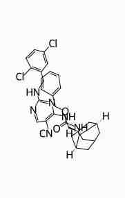 N#Cc1cnc(NCc2cc(Cl)ccc2Cl)nc1NC[C@]12CC3C[C@H](C1)[C@H](NC(=O)OCc1ccccc1)[C@@H](C3)C2